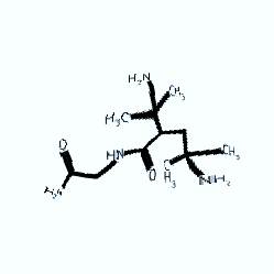 CC(C)(N)CC(C(=O)NCC(N)=O)C(C)(C)N